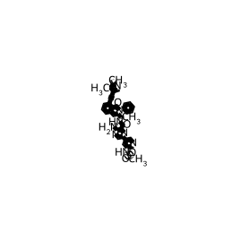 Cc1c(C#Cc2cccc3cc([C@H](C)NC(=O)c4nc(-c5cncc(NS(C)(=O)=O)c5)cnc4N)n(-c4ccccc4)c(=O)c23)cnn1C